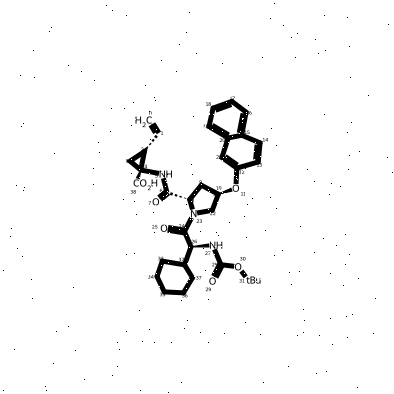 C=C[C@H]1C[C@]1(NC(=O)[C@@H]1C[C@@H](Oc2ccc3ccccc3c2)CN1C(=O)[C@@H](NC(=O)OC(C)(C)C)C1CCCCC1)C(=O)O